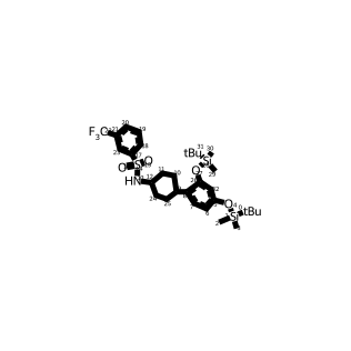 CC(C)(C)[Si](C)(C)Oc1ccc(C2CCC(NS(=O)(=O)c3cccc(C(F)(F)F)c3)CC2)c(O[Si](C)(C)C(C)(C)C)c1